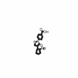 O=C(O)c1ccc(-n2cc(-c3ccccc3[N+](=O)[O-])cn2)cc1